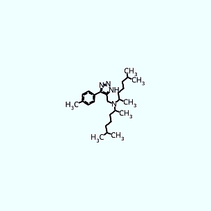 Cc1ccc(-c2nn[nH]c2CN(C(C)CCCC(C)C)C(C)CCCC(C)C)cc1